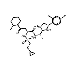 C[C@H](NC(=O)[C@H](CC(=O)N1CCCC[C@@H]1C)NS(=O)(=O)CCC1CC1)C1NCC(c2ccc(F)cc2F)N1